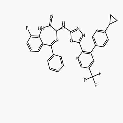 O=C1Nc2c(F)cccc2C(c2ccccc2)=N[C@@H]1Nc1nnc(-c2ncc(C(F)(F)F)cc2-c2ccc(C3CC3)cc2)o1